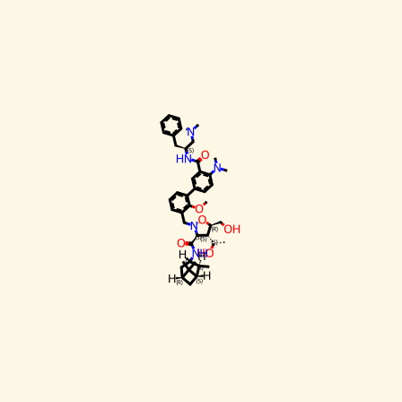 COc1c(CN2O[C@@H](CO)[C@H]([C@H](C)O)[C@H]2C(=O)N[C@H]2C[C@H]3C[C@@H]([C@@H]2C)C3(C)C)cccc1-c1ccc(N(C)C)c(C(=O)N[C@@H](Cc2ccccc2)CN(C)C)c1